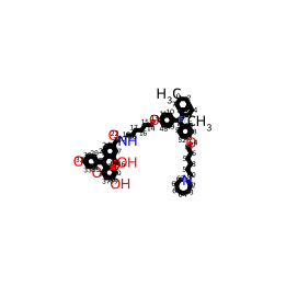 CC1CC2CC(C)/C(=C(/c3ccc(OCCCCCCNC(=O)c4ccc(-c5c6ccc(=O)cc-6oc6cc(O)ccc56)c(C(=O)O)c4)cc3)c3ccc(OCCCCCCN4CCCCCC4)cc3)C(C1)C2